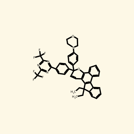 CCC1(CC)c2ccccc2-c2c1c1c(c3ccccc23)OC(c2ccc(-c3nc(C(F)(F)F)nc(C(F)(F)F)n3)cc2)(c2ccc(N3CCOCC3)cc2)C=C1